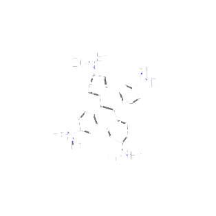 CCN(CC)c1ccc(C(=C(c2ccc(N(CC)CC)cc2)c2ccc(N(CC)CC)cc2)c2ccc(N(CC)CC)cc2)cc1